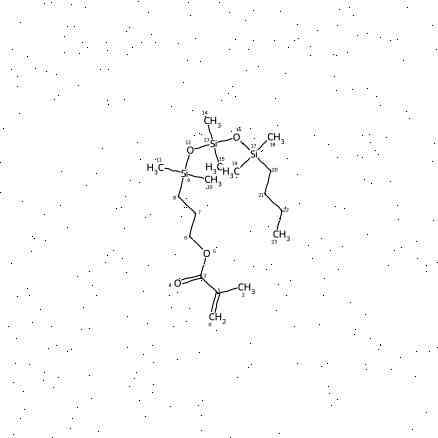 C=C(C)C(=O)OCCC[Si](C)(C)O[Si](C)(C)O[Si](C)(C)CCCC